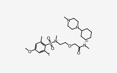 COc1cc(C)c(S(=O)(=O)N(C)CCOCC(=O)N(C)[C@H]2CCCC(N3CCN(C)CC3)C2)c(I)c1